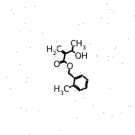 C=C(C(=O)OCc1ccccc1C)C(C)O